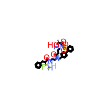 CCCC(=O)N(CCNC(=O)[C@@H](CS)Cc1ccccc1F)Cc1ccc(-c2ccccc2S(=O)(=O)NC(=O)[C@H](C)O)cc1